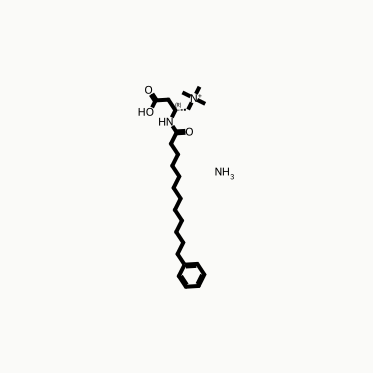 C[N+](C)(C)C[C@@H](CC(=O)O)NC(=O)CCCCCCCCCCCc1ccccc1.N